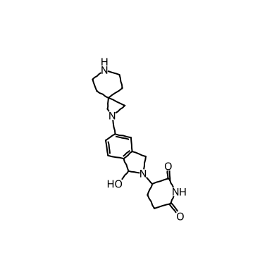 O=C1CCC(N2Cc3cc(N4CC5(CCNCC5)C4)ccc3C2O)C(=O)N1